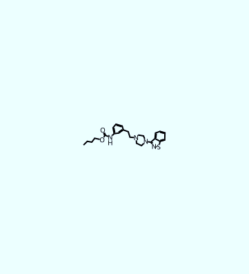 CCCCOC(=O)Nc1cccc(CCN2CCN(c3nsc4ccccc34)CC2)c1